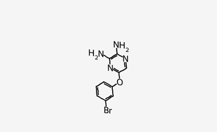 Nc1ncc(Oc2cccc(Br)c2)nc1N